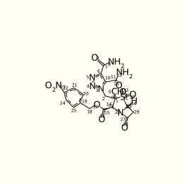 C[C@]1(Cn2nnc(C(N)=O)c2C(N)=O)[C@H](C(=O)OCc2ccc([N+](=O)[O-])cc2)N2C(=O)C[C@H]2S1(=O)=O